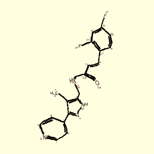 Cc1c(-c2ccncc2)n[nH]c1NC(=O)C=Cc1ccc(F)cc1F